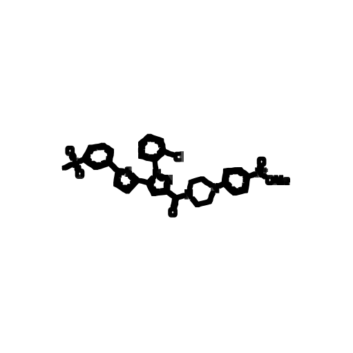 CO[N+](=O)c1ccc(N2CCN(C(=O)c3cc(-c4ccc(-c5cccc(S(C)(=O)=O)c5)s4)n(-c4ccccc4Cl)n3)CC2)cc1